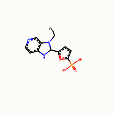 CC(C)CN1c2cnccc2NC1c1ccc(P(=O)(O)O)o1